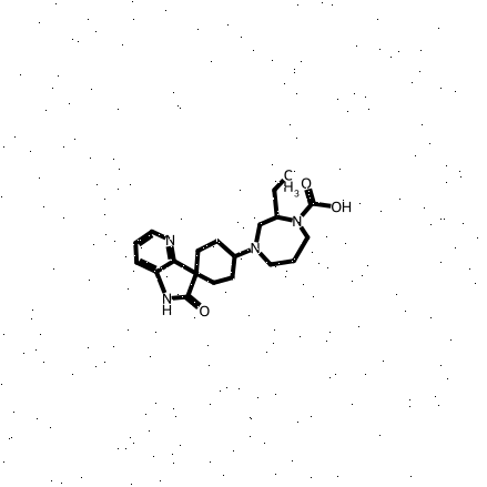 CCC1CN(C2CCC3(CC2)C(=O)Nc2cccnc23)CCCN1C(=O)O